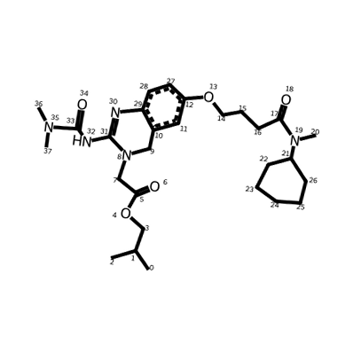 CC(C)COC(=O)CN1Cc2cc(OCCCC(=O)N(C)C3CCCCC3)ccc2N=C1NC(=O)N(C)C